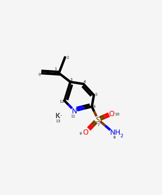 C=C(C)c1ccc(S(N)(=O)=O)nc1.[K]